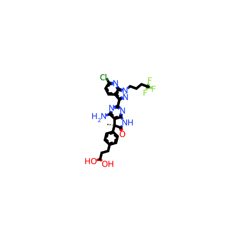 C[C@@]1(c2ccc(CCC(O)O)cc2)C(=O)Nc2nc(-c3nn(CCCC(F)(F)F)c4nc(Cl)ccc34)nc(N)c21